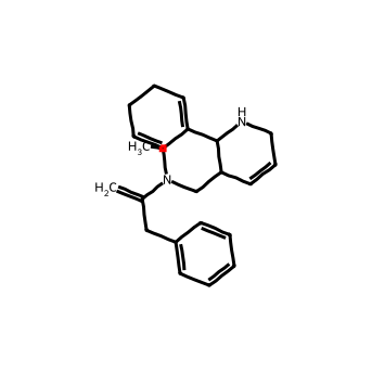 C=C(Cc1ccccc1)N(CC)CC1C=CCNC1C1=CCCC=C1